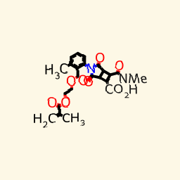 C=C(C)C(=O)OCCOC(=O)c1c(C)cccc1N1C(=O)C2C(C(=O)O)C(C(=O)NC)C2C1=O